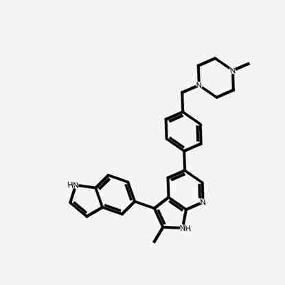 Cc1[nH]c2ncc(-c3ccc(CN4CCN(C)CC4)cc3)cc2c1-c1ccc2[nH]ccc2c1